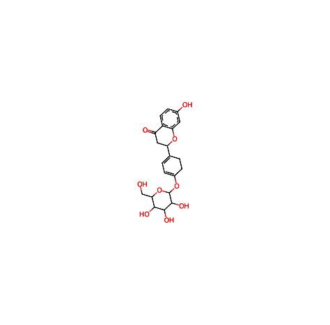 O=C1CC(C2=CC=C(OC3OC(CO)C(O)C(O)C3O)CC2)Oc2cc(O)ccc21